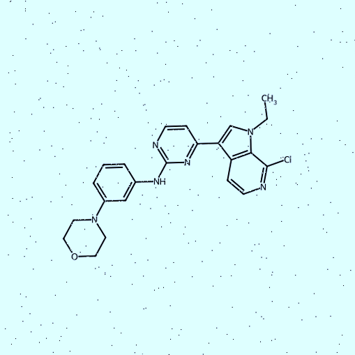 CCn1cc(-c2ccnc(Nc3cccc(N4CCOCC4)c3)n2)c2ccnc(Cl)c21